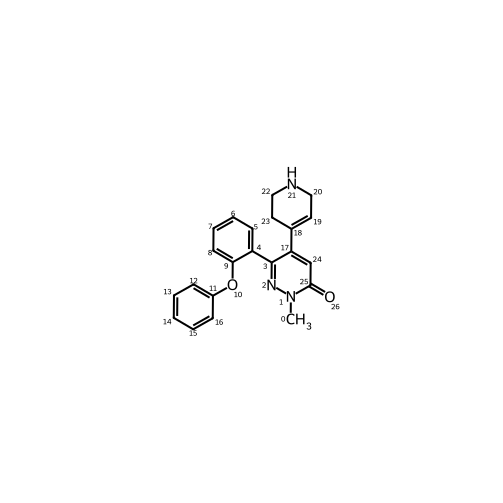 Cn1nc(-c2ccccc2Oc2ccccc2)c(C2=CCNCC2)cc1=O